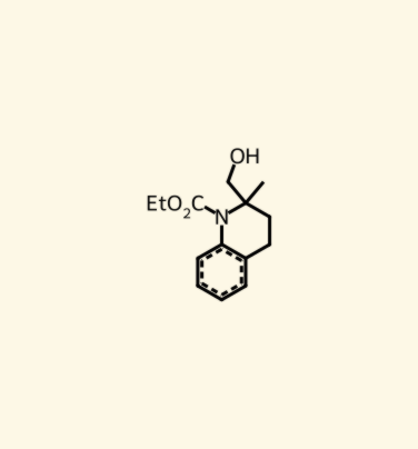 CCOC(=O)N1c2ccccc2CCC1(C)CO